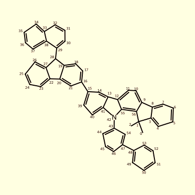 CC1(C)c2ccccc2-c2ccc3c4cc(-c5ccc6c(c5)-c5ccccc5C6c5cccc6ccccc56)ccc4n(-c4cccc(-c5ccccc5)c4)c3c21